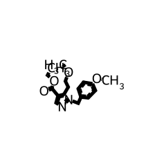 CCOC(=O)c1cnn(Cc2ccc(OC)cc2)c1CCOC